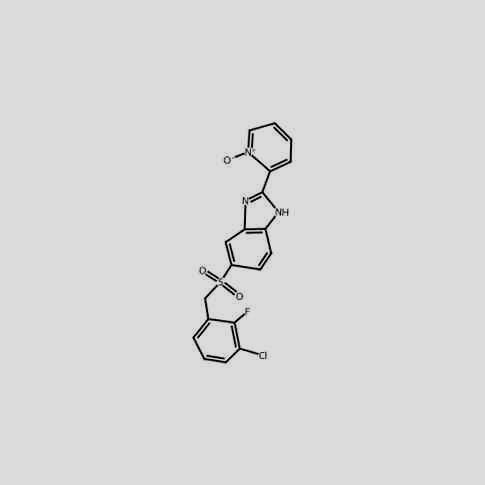 O=S(=O)(Cc1cccc(Cl)c1F)c1ccc2[nH]c(-c3cccc[n+]3[O-])nc2c1